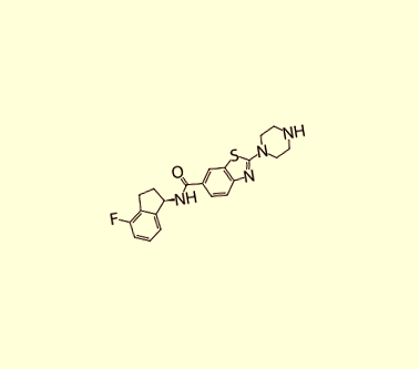 O=C(N[C@@H]1CCc2c(F)cccc21)c1ccc2nc(N3CCNCC3)sc2c1